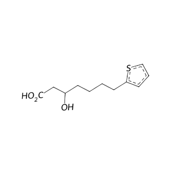 O=C(O)CC(O)CCCCc1cccs1